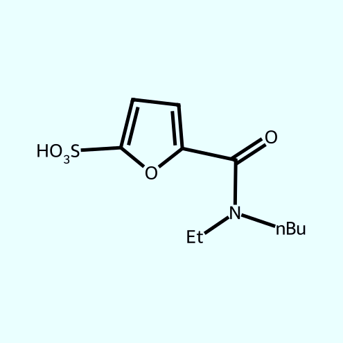 CCCCN(CC)C(=O)c1ccc(S(=O)(=O)O)o1